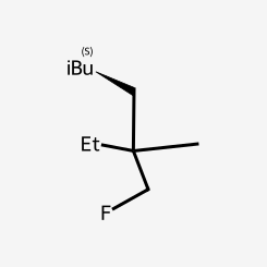 CC[C@H](C)CC(C)(CC)CF